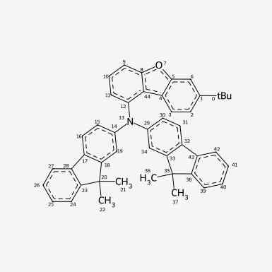 CC(C)(C)c1ccc2c(c1)oc1cccc(N(c3ccc4c(c3)C(C)(C)c3ccccc3-4)c3ccc4c(c3)C(C)(C)c3ccccc3-4)c12